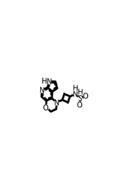 O=[SH](=O)NC1CC(N2CCOc3cnc4[nH]ccc4c32)C1